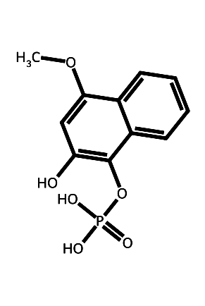 COc1cc(O)c(OP(=O)(O)O)c2ccccc12